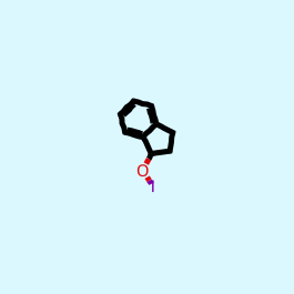 IOC1CCc2ccccc21